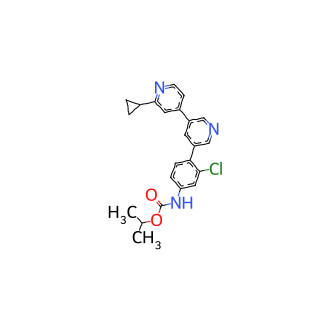 CC(C)OC(=O)Nc1ccc(-c2cncc(-c3ccnc(C4CC4)c3)c2)c(Cl)c1